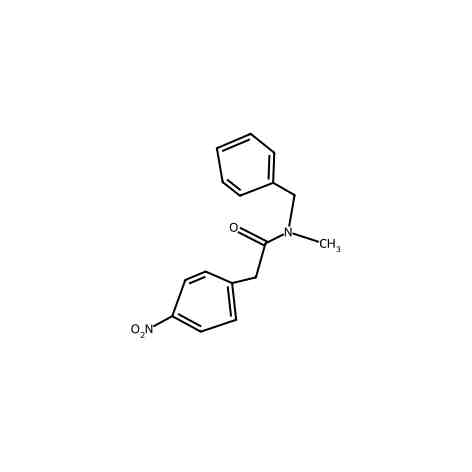 CN(Cc1ccccc1)C(=O)Cc1ccc([N+](=O)[O-])cc1